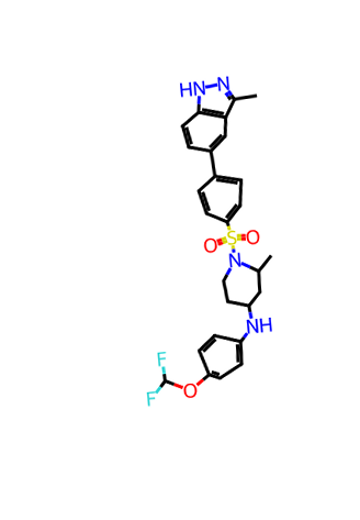 Cc1n[nH]c2ccc(-c3ccc(S(=O)(=O)N4CCC(Nc5ccc(OC(F)F)cc5)CC4C)cc3)cc12